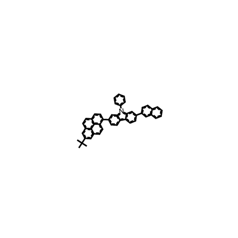 CC(C)(C)c1cc2ccc3ccc(-c4ccc5c6ccc(-c7ccc8ccccc8c7)cc6n(-c6ccccc6)c5c4)c4ccc(c1)c2c34